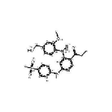 CCC(=O)c1cnc(Nc2ccc(S(C)(=O)=O)cn2)cc1N(N)c1ccc(CO)cc1OC